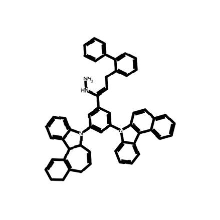 NN/C(=C\Cc1ccccc1-c1ccccc1)c1cc(N2c3ccccc3C3C4=C(CC=CC32)CCC=C4)cc(-n2c3ccccc3c3c4ccccc4ccc32)c1